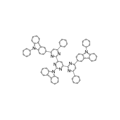 c1ccc(-c2cc(-c3ccc4c(c3)c3ccccc3n4-c3ccccc3)nc(-c3cc(-c4nc(-c5ccccc5)cc(-c5ccc6c(c5)c5ccccc5n6-c5ccccc5)n4)nc(-n4c5ccccc5c5ccccc54)n3)n2)cc1